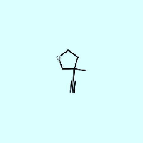 C#CC1(C)CCOC1